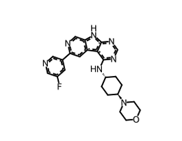 Fc1cncc(-c2cc3c(cn2)[nH]c2ncnc(N[C@H]4CC[C@H](N5CCOCC5)CC4)c23)c1